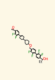 CCC(O)c1ccc(-c2ccc(COC3CCC(C4CC=C(c5ccc(C6CO6)c(F)c5F)CC4)CC3)c(F)c2F)c(F)c1F